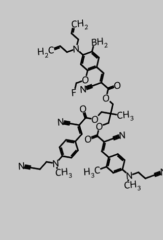 Bc1cc(/C=C(\C#N)C(=O)OCC(C)(COC(=O)/C(C#N)=C/c2ccc(N(C)CCC#N)cc2)COC(=O)/C(C#N)=C/c2ccc(N(C)CCC#N)cc2C)c(OCF)cc1N(CC=C)CC=C